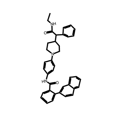 CCNC(=O)C(c1ccccc1)C1CCN(c2ccc(NC(=O)c3ccccc3-c3ccc4ccccc4c3)cc2)CC1